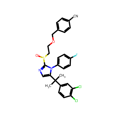 CC(C)(c1ccc(Cl)c(Cl)c1)c1cnc([S+]([O-])CCOCc2ccc(C#N)cc2)n1-c1ccc(F)cc1